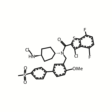 COc1ccc(-c2ccc(S(C)(=O)=O)cc2)cc1CN(C(=O)c1sc2c(F)ccc(F)c2c1Cl)[C@H]1CC[C@H](NCl)CC1